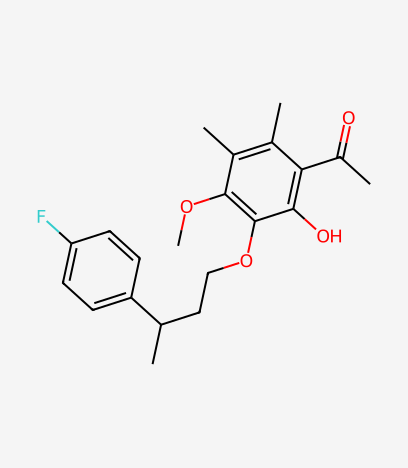 COc1c(C)c(C)c(C(C)=O)c(O)c1OCCC(C)c1ccc(F)cc1